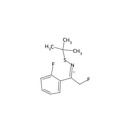 CC(C)(C)S/N=C(/CF)c1ccccc1F